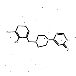 O=c1cc(N2CCN(CC3=CCCC(Br)=C3O)CC2)nc[nH]1